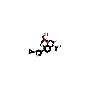 CC(=O)N1c2ccc(-c3cnn(C4CC4)c3)c3c2C2(C[C@@H]1C)OCC2(CO)CO3